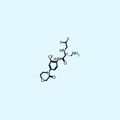 NC[C@@H](NCC(F)F)C(=O)Nc1ccc(N2CCOCC2=O)cc1C(F)(F)F